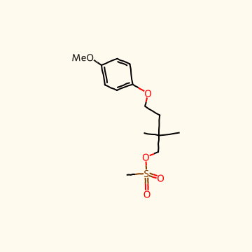 COc1ccc(OCCC(C)(C)COS(C)(=O)=O)cc1